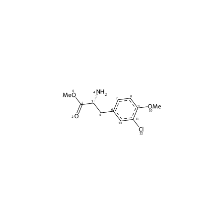 COC(=O)[C@H](N)Cc1ccc(OC)c(Cl)c1